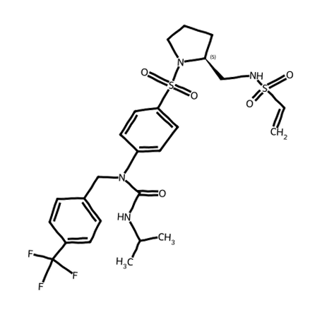 C=CS(=O)(=O)NC[C@@H]1CCCN1S(=O)(=O)c1ccc(N(Cc2ccc(C(F)(F)F)cc2)C(=O)NC(C)C)cc1